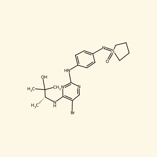 C[C@@H](Nc1nc(Nc2ccc(N=S3(=O)CCCC3)cc2)ncc1Br)C(C)(C)O